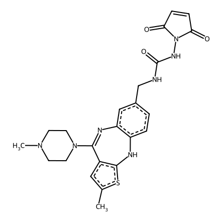 Cc1cc2c(s1)Nc1ccc(CNC(=O)NN3C(=O)C=CC3=O)cc1N=C2N1CCN(C)CC1